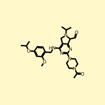 COc1cc(OC(C)C)ccc1CNc1nc(N2CCN(C(C)=O)CC2)nc2c1CN(C(C)C)C2C=O